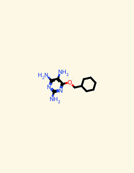 Nc1nc(N)c(N)c(OCC2CCCCC2)n1